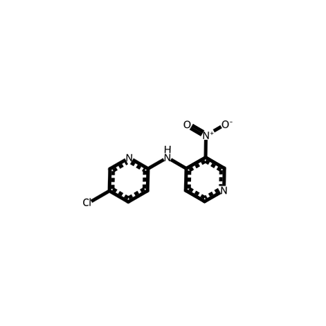 O=[N+]([O-])c1cnccc1Nc1ccc(Cl)cn1